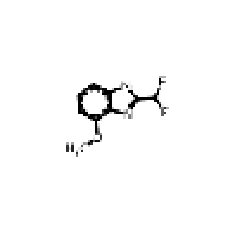 COc1cccc2c1N=C(C(F)F)[N]2